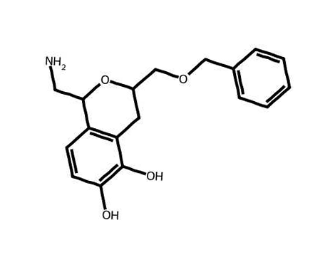 NCC1OC(COCc2ccccc2)Cc2c1ccc(O)c2O